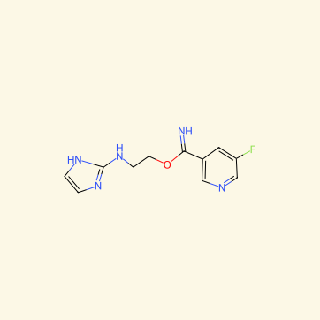 N=C(OCCNc1ncc[nH]1)c1cncc(F)c1